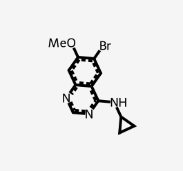 COc1cc2ncnc(NC3CC3)c2cc1Br